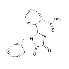 NC(=O)c1ccccc1C1SC(=O)C(=O)N1Cc1ccccc1